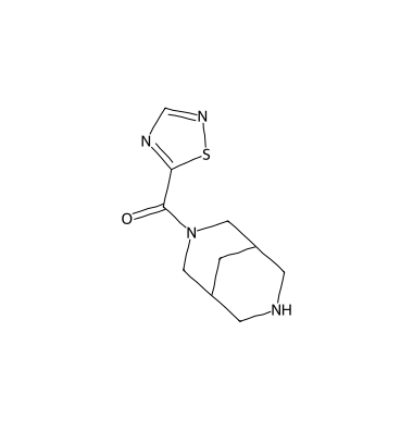 O=C(c1ncns1)N1CC2CNCC(C2)C1